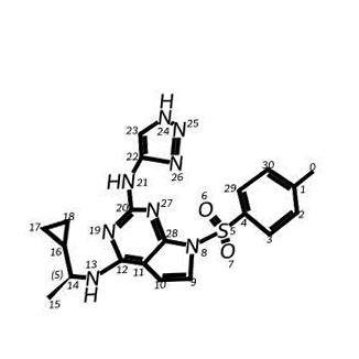 Cc1ccc(S(=O)(=O)n2ccc3c(N[C@@H](C)C4CC4)nc(Nc4c[nH]nn4)nc32)cc1